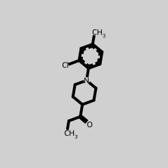 CCC(=O)C1CCN(c2ccc(C)cc2Cl)CC1